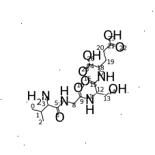 CC(C)C(N)C(=O)NCC(=O)NC(CO)C(=O)NC(CCC(=O)O)C(=O)O